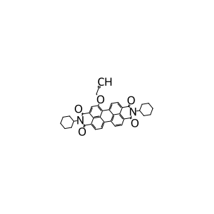 C#CCOc1cc2c3c(ccc4c5ccc6c7c(ccc(c1c34)c75)C(=O)N(C1CCCCC1)C6=O)C(=O)N(C1CCCCC1)C2=O